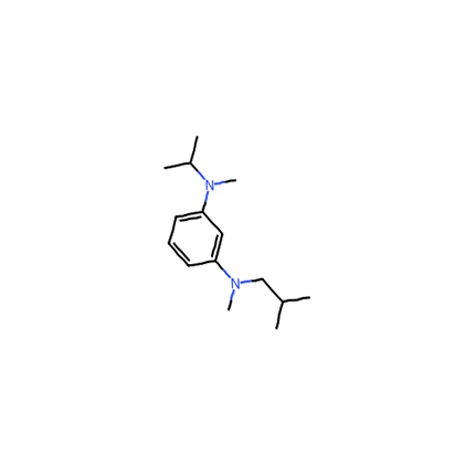 CC(C)CN(C)c1cccc(N(C)C(C)C)c1